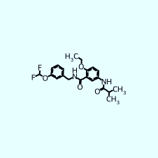 CCOc1ccc(NC(=O)C(C)C)cc1C(=O)NCc1cccc(OC(F)F)c1